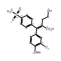 COc1ccc(/C(=C(/CCO)C(=O)O)c2ccc(S(C)(=O)=O)cc2)cc1Cl